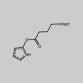 CCCCCCCCCCC(=O)Oc1ccc[nH]1